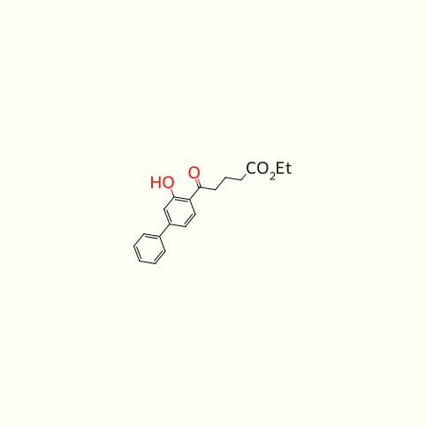 CCOC(=O)CCCC(=O)c1ccc(-c2ccccc2)cc1O